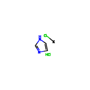 Cl.[Cl][K].c1c[nH]cn1